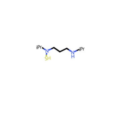 CC(C)NCCCN(S)C(C)C